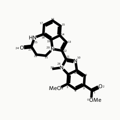 COC(=O)c1cc(OC)c2c(c1)nc(-c1cc3cccc4c3n1CCC(=O)N4)n2C